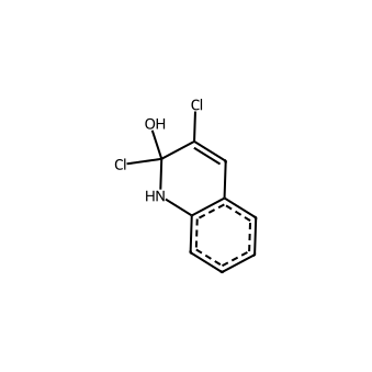 OC1(Cl)Nc2ccccc2C=C1Cl